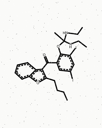 CCCCc1oc2ccccc2c1C(=O)c1cc(I)cc(I)c1OC(C)(NCC)NCC